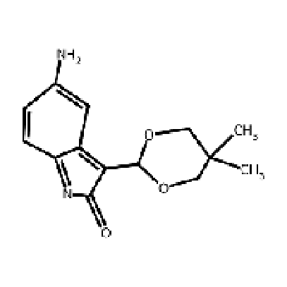 CC1(C)COC(C2=c3cc(N)ccc3=NC2=O)OC1